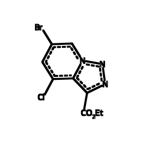 CCOC(=O)c1nnn2cc(Br)cc(Cl)c12